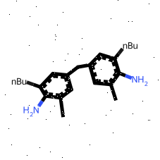 CCCCc1cc(Cc2cc(C)c(N)c(CCCC)c2)cc(C)c1N